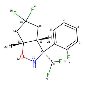 Fc1ccccc1[C@@]1(C(F)F)NO[C@@H]2CC(F)(F)C[C@@H]21